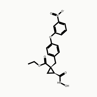 CCOC(=O)[C@@]1(Cc2ccc(Oc3cccc([N+](=O)[O-])c3)cc2)C[C@@H]1C(=O)NO